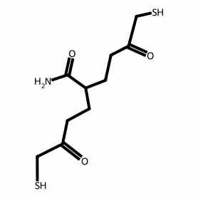 NC(=O)C(CCC(=O)CS)CCC(=O)CS